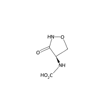 O=C(O)N[C@@H]1CONC1=O